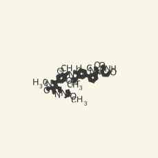 COc1cc(-c2cn(C)c(=O)c3cnc(N4CC(OC)C4)cc23)cc(OC)c1CN1Cc2ccc(-c3cccc4c3n(C)c(=O)n4C3CCC(=O)NC3=O)cc2C(F)(F)C1